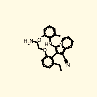 CCc1cccc(OCC(N)=O)c1-c1c(C#N)c2ccccn2c1Nc1c(C)cccc1C